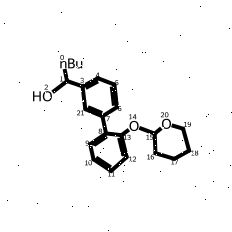 CCCCC(O)c1cccc(-c2ccccc2OC2CCCCO2)c1